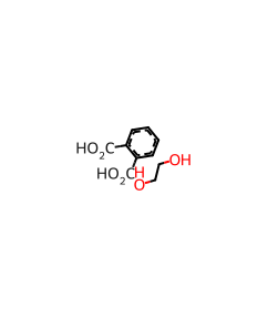 O=C(O)c1ccccc1C(=O)O.OCCO